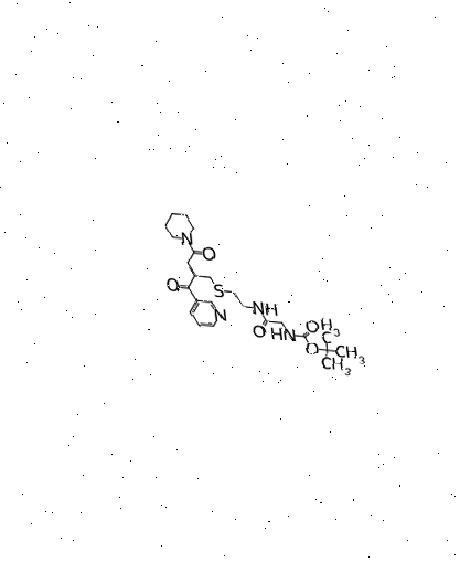 CC(C)(C)OC(=O)NCC(=O)NCCSCC(CC(=O)N1CCCCC1)C(=O)c1cccnc1